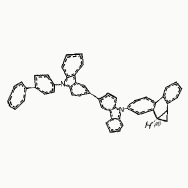 c1ccc(-c2ccc(-n3c4ccccc4c4cc(-c5ccc6c(c5)c5ccccc5n6-c5ccc6c(c5)[C@@H]5CC5c5ccccc5-6)ccc43)cc2)cc1